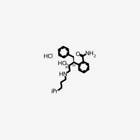 CC(C)CCCNC[C@H](O)[C@@H](Cc1ccccc1)c1ccccc1C(N)=O.Cl